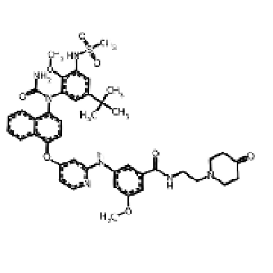 COc1cc(Nc2cc(Oc3ccc(N(C(N)=O)c4cc(C(C)(C)C)cc(NS(C)(=O)=O)c4OC)c4ccccc34)ccn2)cc(C(=O)NCCN2CCC(=O)CC2)c1